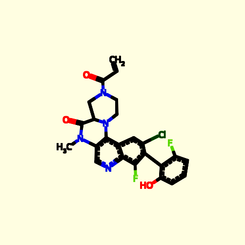 C=CC(=O)N1CCN2c3c(cnc4c(F)c(-c5c(O)cccc5F)c(Cl)cc34)N(C)C(=O)C2C1